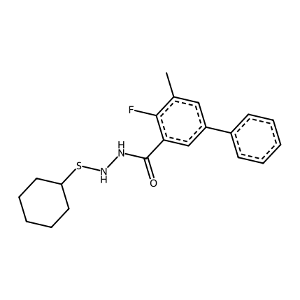 Cc1cc(-c2ccccc2)cc(C(=O)NNSC2CCCCC2)c1F